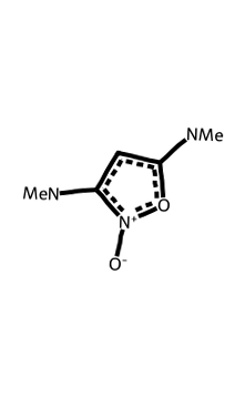 CNc1cc(NC)[n+]([O-])o1